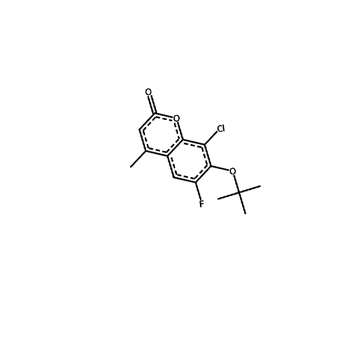 Cc1cc(=O)oc2c(Cl)c(OC(C)(C)C)c(F)cc12